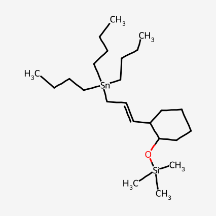 CCC[CH2][Sn]([CH2]C=CC1CCCCC1O[Si](C)(C)C)([CH2]CCC)[CH2]CCC